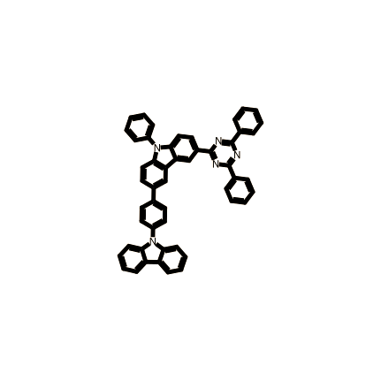 c1ccc(-c2nc(-c3ccccc3)nc(-c3ccc4c(c3)c3cc(-c5ccc(-n6c7ccccc7c7ccccc76)cc5)ccc3n4-c3ccccc3)n2)cc1